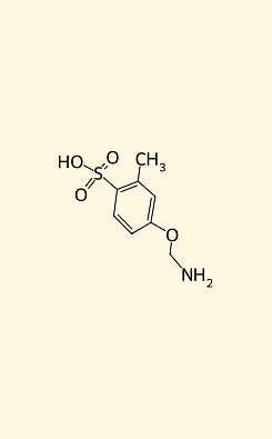 Cc1cc(OCN)ccc1S(=O)(=O)O